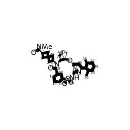 CNC(=O)[C@H]1CC2(C1)C[C@H](N1C(=O)c3cccc(c3)S(=O)(=O)Nc3nc(cc(-c4c(C)cccc4C)n3)OC[C@H]1CC(C)C)C2